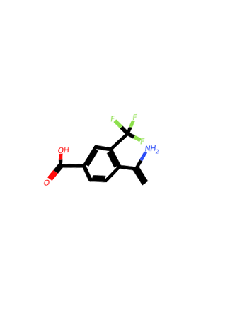 C=C(N)c1ccc(C(=O)O)cc1C(F)(F)F